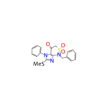 CSc1nc2c(n1-c1ccccc1)C(=O)CS(=O)(=O)N2Cc1ccccc1